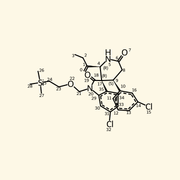 C=C(CC)[C@H]1NC(=O)C[C@@H](c2cccc(Cl)c2)[C@]12C(=O)N(COCC[Si](C)(C)C)c1cc(Cl)ccc12